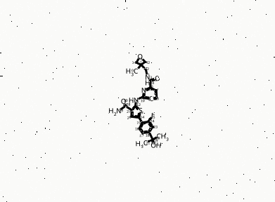 CC1(CNC(=O)c2cccc(Nc3sc(-c4ccc(C(C)(C)O)cc4F)cc3C(N)=O)n2)COC1